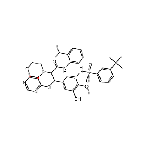 COc1c(O)cc(C(Oc2ccncn2)C(C(=O)Nc2ccccc2C(C)C)N2CCOCC2)cc1NS(=O)(=O)c1cccc(C(C)(C)C)c1